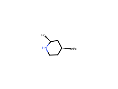 CCCC[C@H]1CCN[C@@H](C(C)C)C1